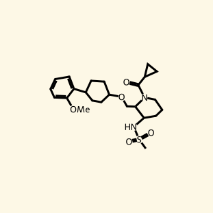 COc1ccccc1C1CCC(OCC2C(NS(C)(=O)=O)CCCN2C(=O)C2CC2)CC1